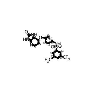 O=c1[nH]c2nccc(Oc3ccc(NS(=O)(=O)c4cc(C(F)(F)F)cc(C(F)(F)F)c4)cc3)c2[nH]1